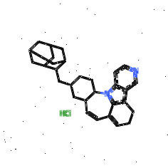 C1=CC2CC(CC3C4CC5CC(C4)CC3C5)CCC2n2c3c(c4cnccc42)CCC=C13.Cl